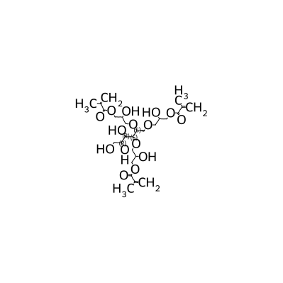 C=C(C)C(=O)OCC(O)COC[C@H](OCC(O)COC(=O)C(=C)C)[C@@H](OCC(O)COC(=O)C(=C)C)[C@H](O)[C@H](O)CO